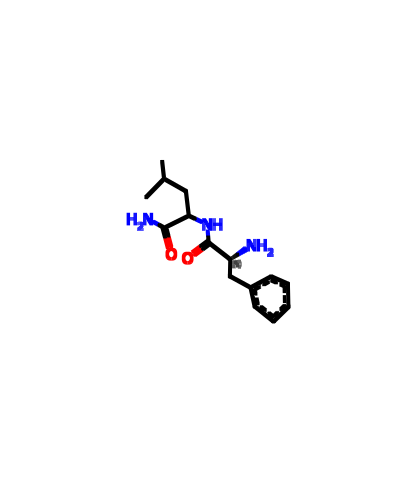 CC(C)CC(NC(=O)[C@@H](N)Cc1ccccc1)C(N)=O